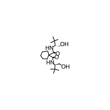 CC(C)(C)[C@H](CO)NC(=O)C1(C(=O)N[C@@H](CO)C(C)(C)C)CCCCC1